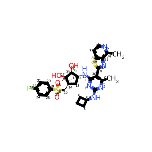 Cc1nc(NC2CCC2)nc(N[C@@H]2C[C@H](CS(=O)(=O)c3ccc(F)cc3)[C@@H](O)[C@H]2O)c1-c1nc2c(C)nccc2s1